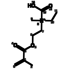 C=C(C)C(=O)OCC[N+](C)(CC)C(=O)O